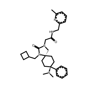 Cc1cccc(CNC(=O)CN2C[C@]3(CC[C@](c4ccccc4)(N(C)C)CC3)N(CC3CCC3)C2=O)n1